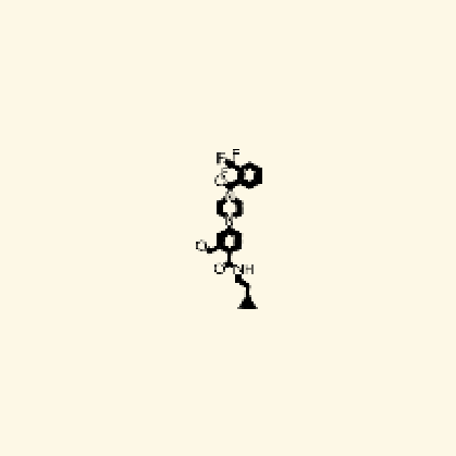 O=Cc1cc(N2CCN(C(=O)c3ccccc3C(F)(F)F)CC2)ccc1C(=O)NCCC1CC1